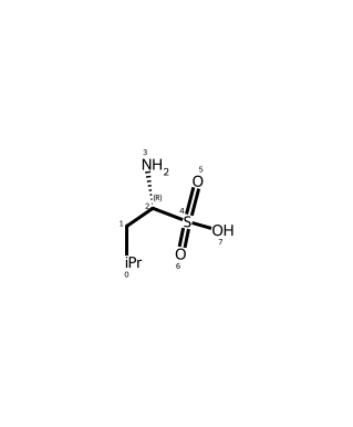 CC(C)C[C@H](N)S(=O)(=O)O